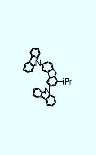 CC(C)c1cc(-n2c3ccccc3c3ccccc32)cc2c1Cc1ccc(-n3c4ccccc4c4ccccc43)cc1-2